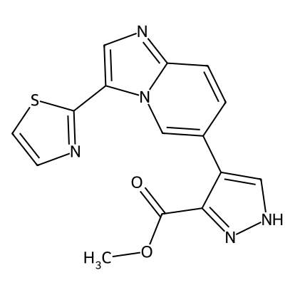 COC(=O)c1n[nH]cc1-c1ccc2ncc(-c3nccs3)n2c1